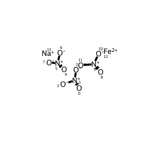 O=[N+]([O-])[O-].O=[N+]([O-])[O-].O=[N+]([O-])[O-].[Fe+2].[Na+]